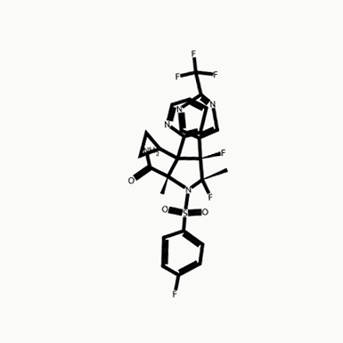 C[C@]1(C(N)=O)N(S(=O)(=O)c2ccc(F)cc2)[C@@](C)(F)[C@@](F)(c2cnc(C(F)(F)F)nc2)C1(c1ccccn1)C1CC1